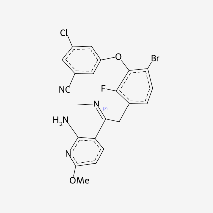 C/N=C(/Cc1ccc(Br)c(Oc2cc(Cl)cc(C#N)c2)c1F)c1ccc(OC)nc1N